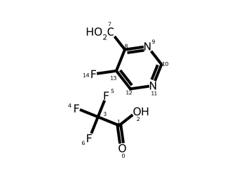 O=C(O)C(F)(F)F.O=C(O)c1ncncc1F